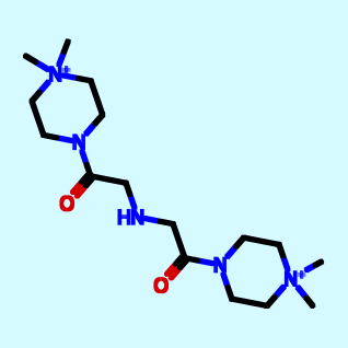 C[N+]1(C)CCN(C(=O)CNCC(=O)N2CC[N+](C)(C)CC2)CC1